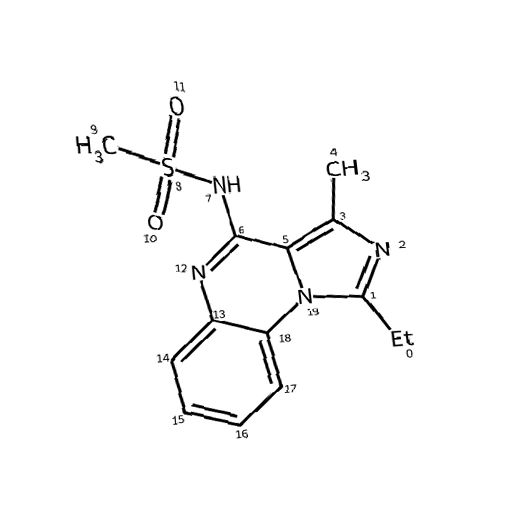 CCc1nc(C)c2c(NS(C)(=O)=O)nc3ccccc3n12